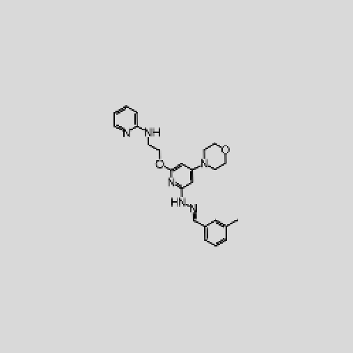 Cc1cccc(C=NNc2cc(N3CCOCC3)cc(OCCNc3ccccn3)n2)c1